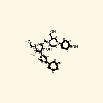 OCC1CN(c2ccc(O)cc2)CCN1C[C@@H]1O[C@H](CO)[C@H](O)[C@H](n2cc(-c3cccc(F)c3)nn2)[C@H]1O